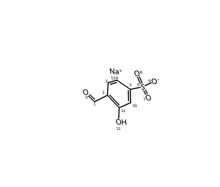 O=Cc1ccc(S(=O)(=O)[O-])cc1O.[Na+]